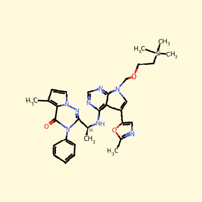 Cc1ncc(-c2cn(COCC[Si](C)(C)C)c3ncnc(N[C@@H](C)c4nn5ccc(C)c5c(=O)n4-c4ccccc4)c23)o1